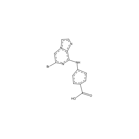 O=C(O)c1ccc(Nc2nc(Br)cn3ccnc23)cc1